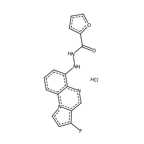 Cl.O=C(NNc1cccc2c1ncc1c(F)ccn12)c1ccco1